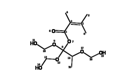 CC(C)=C(C)C(=O)OC(OCO)(OCO)C(C)OCO